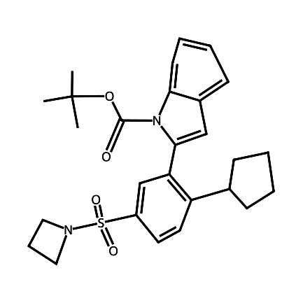 CC(C)(C)OC(=O)n1c(-c2cc(S(=O)(=O)N3CCC3)ccc2C2CCCC2)cc2ccccc21